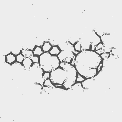 CN[C@@H](CC(C)C)C(=O)N[C@H]1C(=O)N[C@@H](CC(N)=O)C(=O)N[C@H]2C(=O)N[C@H]3C(=O)N[C@H](C(=O)N[C@@H](C(=O)ON4C(=O)c5ccccc5C4=O)c4cc(OC)cc(OC)c4-c4cc3ccc4OC)C(O[Si](C)(C)C(C)(C)C)c3ccc(c(Cl)c3)Oc3cc2cc(c3OC)Oc2ccc(cc2Cl)C1O[Si](C)(C)C(C)(C)C